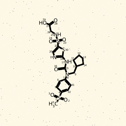 CS(=O)(=O)c1ccc(N(CC2CCCC2)C(=O)Nc2ncc(S(=O)(=O)NCC(=O)O)s2)cc1